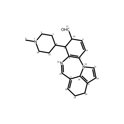 CN1CCC(C2C3=C(C=CC2C=O)n2ccc4c2C(=CCC4)C=N3)CC1